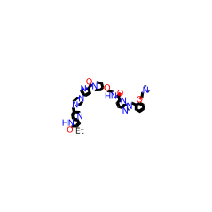 CCc1cc2ncc(CN3CCN(c4ccc(C(=O)N5CCC(OCCNC(=O)c6ccc7ncn(Cc8ccccc8OCCN(C)C)c7n6)CC5)nc4)CC3)cc2[nH]c1=O